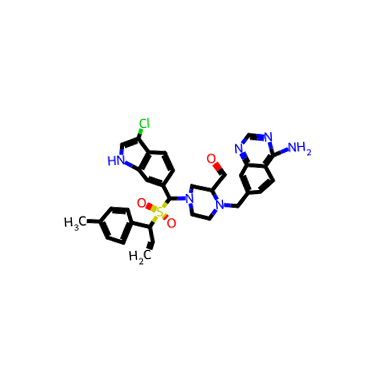 C=CC(c1ccc(C)cc1)S(=O)(=O)C(c1ccc2c(Cl)c[nH]c2c1)N1CCN(Cc2ccc3c(N)ncnc3c2)C(C=O)C1